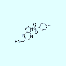 Cc1ccc(S(=O)(=O)n2ccc3nc(C=N)cnc32)cc1